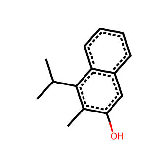 Cc1c(O)cc2ccccc2c1C(C)C